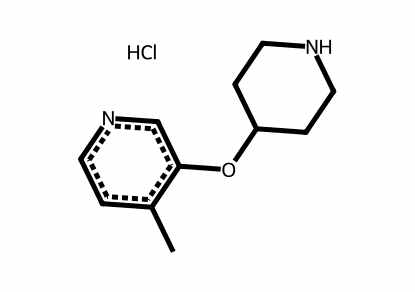 Cc1ccncc1OC1CCNCC1.Cl